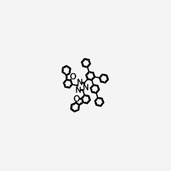 c1ccc(-c2ccc(-c3c(-c4ccccc4)cc(-c4ccccc4)cc3-c3nc(-c4cccc5c4oc4ccccc45)nc(-c4cccc5c4oc4ccccc45)n3)cc2)cc1